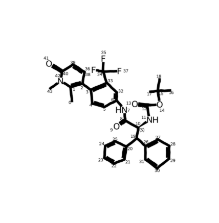 Cc1c(-c2ccc(NC(=O)[C@@H](NC(=O)OC(C)(C)C)C(c3ccccc3)c3ccccc3)cc2C(F)(F)F)ccc(=O)n1C